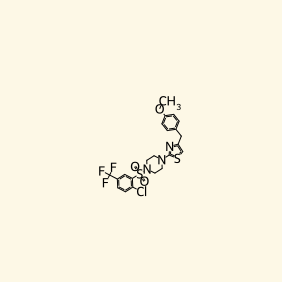 COc1ccc(Cc2csc(N3CCN(S(=O)(=O)c4cc(C(F)(F)F)ccc4Cl)CC3)n2)cc1